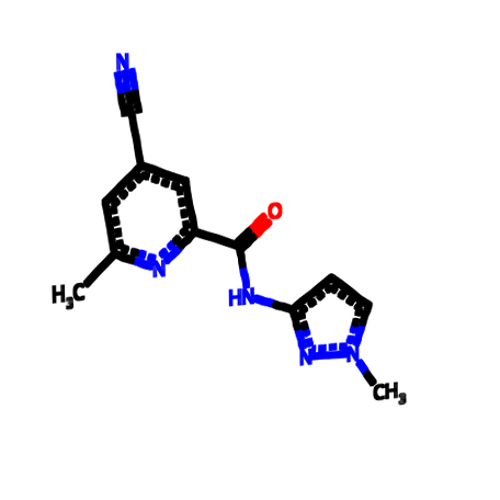 Cc1cc(C#N)cc(C(=O)Nc2ccn(C)n2)n1